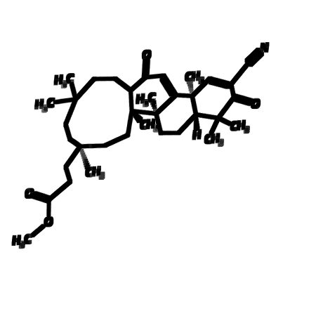 COC(=O)CC[C@@]1(C)CCC(C)(C)CCC2C(=O)C=C3[C@@]4(C)C=C(C#N)C(=O)C(C)(C)[C@@H]4CC[C@@]3(C)[C@]2(C)CC1